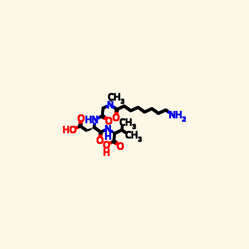 CC(C)[C@H](NC(=O)[C@H](CC(=O)O)NC(=O)CN(C)C(=O)CCCCCCCN)C(=O)O